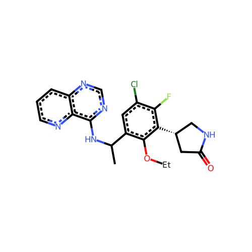 CCOc1c(C(C)Nc2ncnc3cccnc23)cc(Cl)c(F)c1[C@@H]1CNC(=O)C1